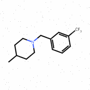 CC1CCN(Cc2cccc(C(F)(F)F)c2)CC1